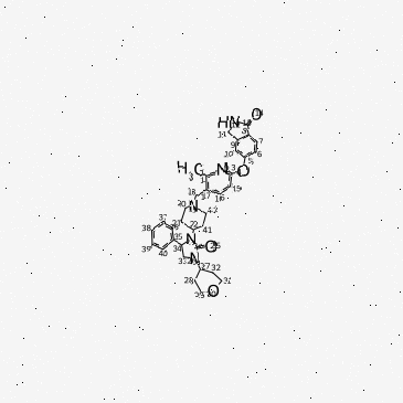 Cc1nc(Oc2ccc3c(c2)CNC3=O)ccc1CN1CCC(N2C(=O)N(C3CCOCC3)CC2c2ccccc2)CC1